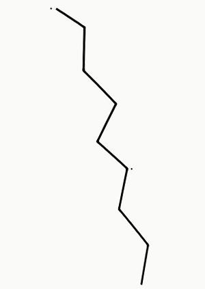 [CH2]CCCC[CH]CCC